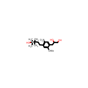 COc1cc(CCC(C)(C)[Si](C)(C)O)c([N+](=O)[O-])cc1CC(O)CO